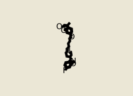 Cc1cc(=O)oc2cc(OCCCCCN3CCC(c4noc5cc(F)ccc45)CC3)ccc12